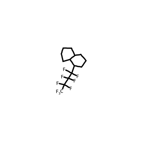 FC(F)(F)C(F)(F)C(F)(F)C(F)(F)C1CCCC2CCCCC21